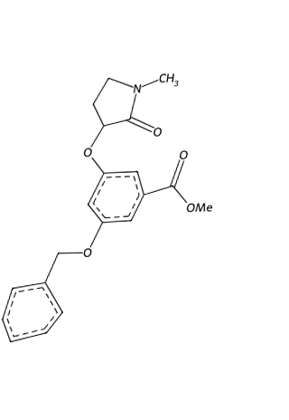 COC(=O)c1cc(OCc2ccccc2)cc(OC2CCN(C)C2=O)c1